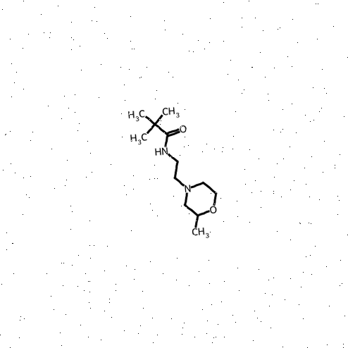 CC1CN(CCNC(=O)C(C)(C)C)CCO1